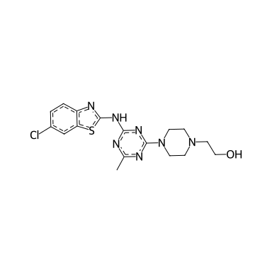 Cc1nc(Nc2nc3ccc(Cl)cc3s2)nc(N2CCN(CCO)CC2)n1